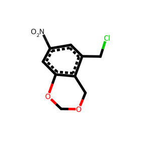 O=[N+]([O-])c1cc(CCl)c2c(c1)OCOC2